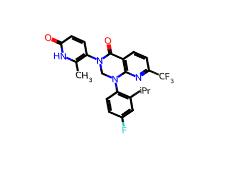 Cc1[nH]c(=O)ccc1N1CN(c2ccc(F)cc2C(C)C)c2nc(C(F)(F)F)ccc2C1=O